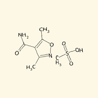 CS(=O)(=O)O.Cc1noc(C)c1C(N)=O